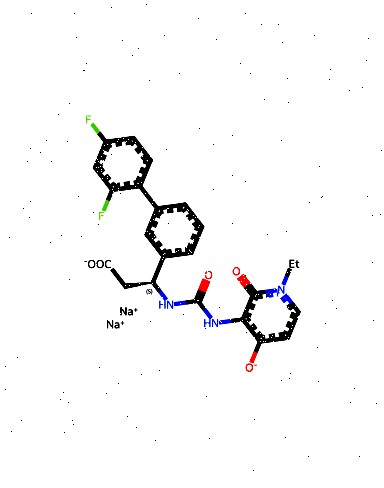 CCn1ccc([O-])c(NC(=O)N[C@@H](CC(=O)[O-])c2cccc(-c3ccc(F)cc3F)c2)c1=O.[Na+].[Na+]